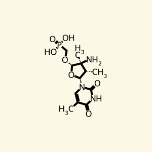 Cc1cn([C@@H]2O[C@H](OCP(=O)(O)O)[C@@](C)(N)[C@@H]2C)c(=O)[nH]c1=O